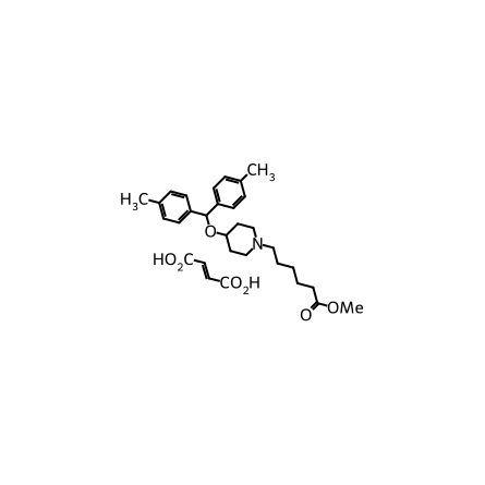 COC(=O)CCCCCN1CCC(OC(c2ccc(C)cc2)c2ccc(C)cc2)CC1.O=C(O)C=CC(=O)O